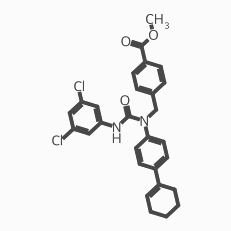 COC(=O)c1ccc(CN(C(=O)Nc2cc(Cl)cc(Cl)c2)c2ccc(C3=CCCCC3)cc2)cc1